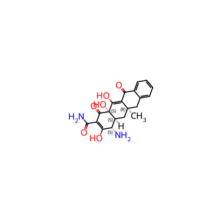 C[C@@]12Cc3ccccc3C(=O)C1=C(O)[C@]1(O)C(=O)C(C(N)=O)=C(O)[C@@H](N)[C@@H]1C2